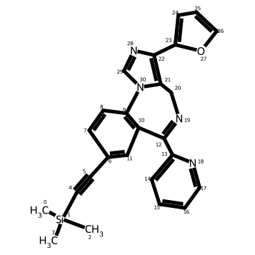 C[Si](C)(C)C#Cc1ccc2c(c1)C(c1ccccn1)=NCc1c(-c3ccco3)ncn1-2